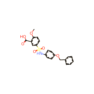 COc1ccc(S(=O)(=O)Nc2ccc(OCc3ccccc3)cc2)cc1C(=O)O